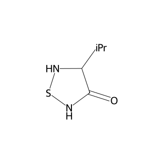 CC(C)C1NSNC1=O